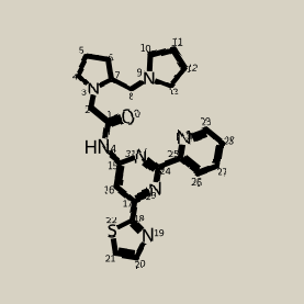 O=C(CN1CCCC1CN1CCCC1)Nc1cc(-c2nccs2)nc(-c2ccccn2)n1